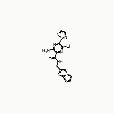 Nc1nc(-n2nccn2)c(Cl)nc1C(=O)NCc1cn2ccsc2n1